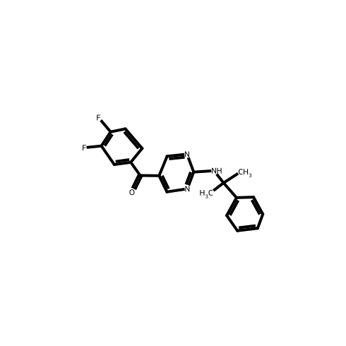 CC(C)(Nc1ncc(C(=O)c2ccc(F)c(F)c2)cn1)c1ccccc1